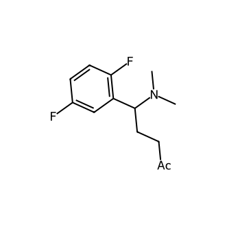 CC(=O)CCC(c1cc(F)ccc1F)N(C)C